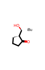 CC[C@H](C)[C@H](O)[C@H]1CCCC1=O